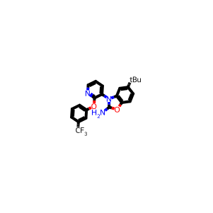 CC(C)(C)c1ccc2c(c1)N(c1cccnc1Oc1cccc(C(F)(F)F)c1)C(N)O2